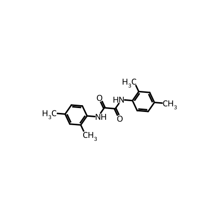 Cc1ccc(NC(=O)C(=O)Nc2ccc(C)cc2C)c(C)c1